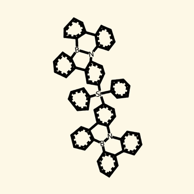 c1ccc([Si](c2ccccc2)(c2ccc3c(c2)-c2ccccc2B2c4ccccc4-c4ccccc4N23)c2ccc3c(c2)-c2ccccc2B2c4ccccc4-c4ccccc4N23)cc1